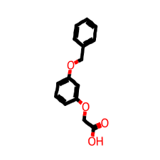 O=C(O)COc1cccc(OCc2ccccc2)c1